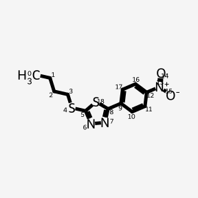 CCCCSc1nnc(-c2ccc([N+](=O)[O-])cc2)s1